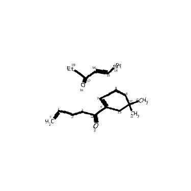 C=CCCC(=O)C1=CCCC(C)(C)C1.CCCC=CC(=O)CC